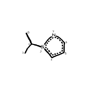 CC(C)n1c[c]cn1